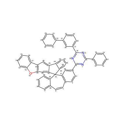 C1=Cc2ccc(-c3nc(-c4ccccc4)nc(-c4cccc(-c5ccccc5)c4)n3)cc2C2(c3ccccc31)c1ccccc1-c1cc3c(cc12)oc1ccccc13